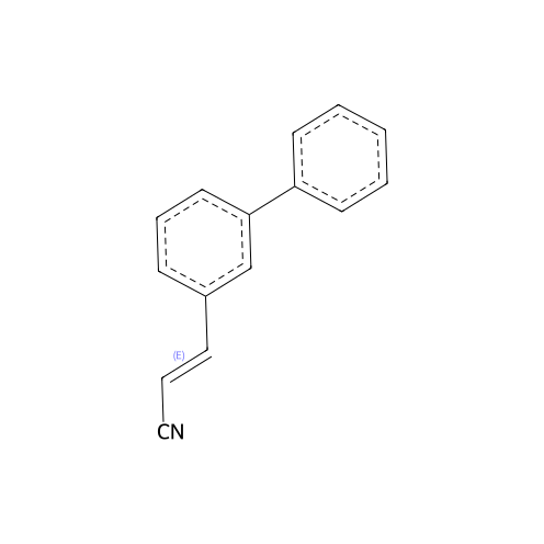 N#C/C=C/c1cccc(-c2ccccc2)c1